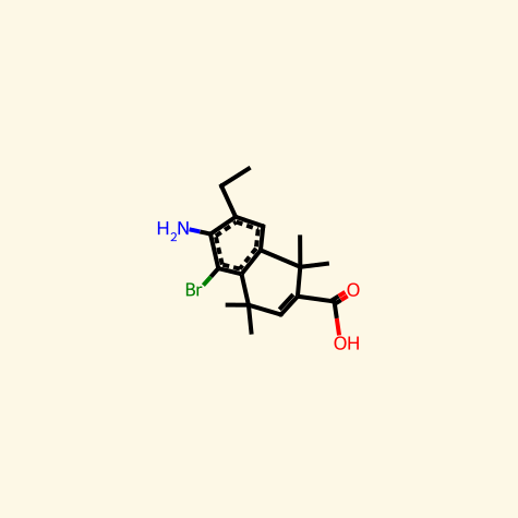 CCc1cc2c(c(Br)c1N)C(C)(C)C=C(C(=O)O)C2(C)C